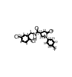 O=C(NCc1cc(Cl)ccc1Cl)C1CC(=O)N(c2ccc(F)cc2)C1